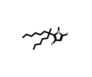 CCCCCCC(C)(CCCCC)c1c(F)cc(F)n1C